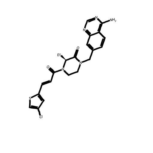 CC[C@H]1C(=O)N(Cc2ccc3c(N)ncnc3c2)CCN1C(=O)C=Cc1cc(Cl)cs1